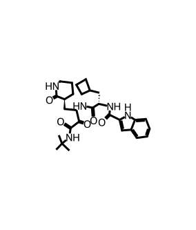 CC(C)(C)NC(=O)C(=O)C(C[C@@H]1CCCNC1=O)NC(=O)[C@H](CC1CCC1)NC(=O)c1cc2ccccc2[nH]1